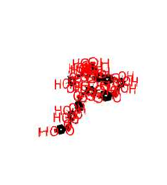 C[C@H]1O[C@@H](OC[C@H]2O[C@@H](Oc3cc4c(=O)cc(O[C@@H]5O[C@H](COC(=O)c6ccc(O[C@@H]7O[C@H](COC(=O)c8ccc(O[C@@H]9O[C@H](COC(=O)c%10ccc(O)cc%10)[C@@H](O)[C@H](O)[C@H]9O)cc8)[C@@H](O)[C@H](O)[C@H]7O)cc6)[C@@H](O)[C@H](O)[C@H]5O)cc-4oc3-c3cc(O)c(O)c(O)c3)[C@H](O)[C@@H](O)[C@@H]2O)[C@@H](O)[C@@H](O)[C@@H]1O